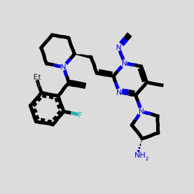 C=NN1C=C(C)C(N2CC[C@H](N)C2)=N/C1=C/C[C@@H]1CCCCN1C(=C)c1c(F)cccc1CC